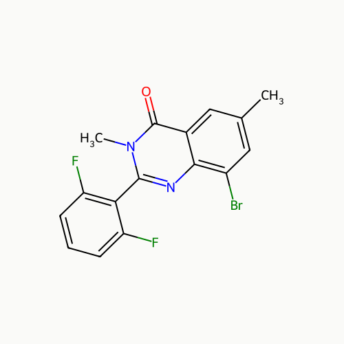 Cc1cc(Br)c2nc(-c3c(F)cccc3F)n(C)c(=O)c2c1